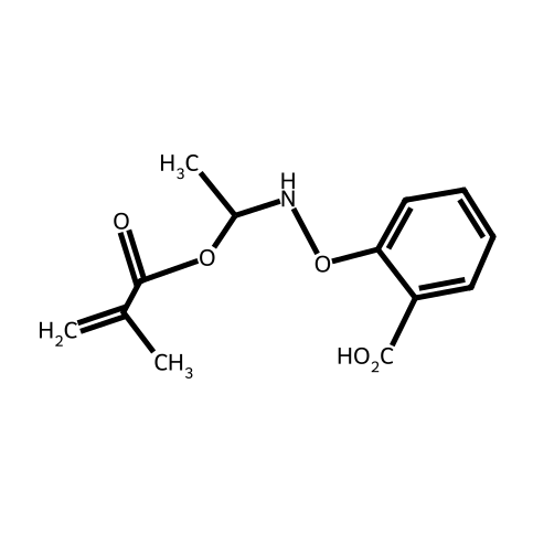 C=C(C)C(=O)OC(C)NOc1ccccc1C(=O)O